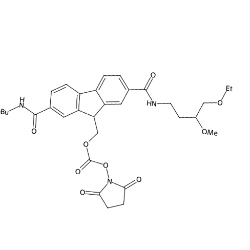 CCCCNC(=O)c1ccc2c(c1)C(COC(=O)ON1C(=O)CCC1=O)c1cc(C(=O)NCCC(COCC)OC)ccc1-2